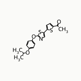 CC(=O)c1ccc(-c2cnc(Oc3ccc(OC(C)C)cc3)s2)s1